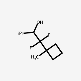 CC(C)C(O)C(F)(F)C1(C)CCC1